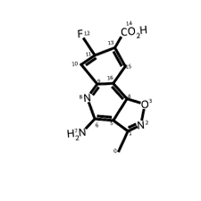 Cc1noc2c1c(N)nc1cc(F)c(C(=O)O)cc12